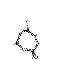 O=c1ccoc(=O)cn1